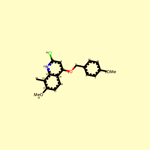 COc1ccc(COc2cc(Cl)nc3c(C)c(OC)ccc23)cc1